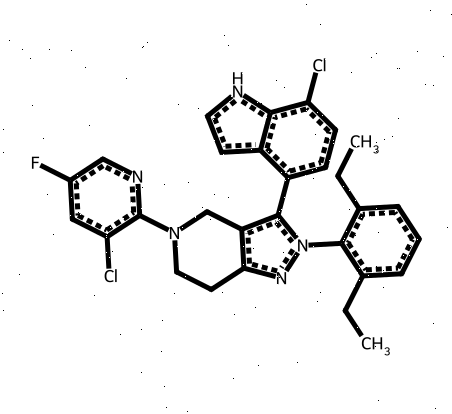 CCc1cccc(CC)c1-n1nc2c(c1-c1ccc(Cl)c3[nH]ccc13)CN(c1ncc(F)cc1Cl)CC2